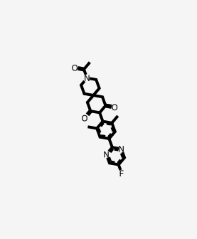 CC(=O)N1CCC2(CC1)CC(=O)C(c1c(C)cc(-c3ncc(F)cn3)cc1C)C(=O)C2